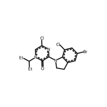 CCC(CC)n1cc(Cl)nc(N2CCc3cc(Br)cc(Cl)c32)c1=O